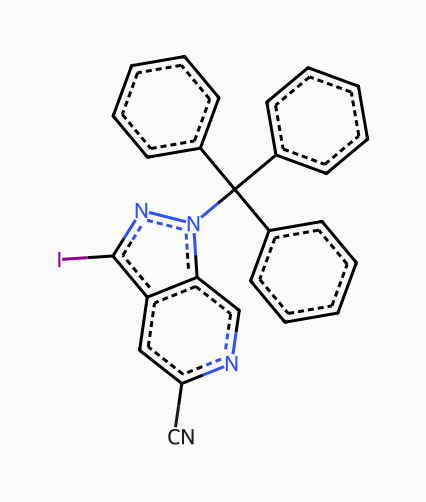 N#Cc1cc2c(I)nn(C(c3ccccc3)(c3ccccc3)c3ccccc3)c2cn1